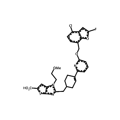 COCCn1c(CC2CC=C(c3cccc(OCc4ccc(Cl)c5cc(F)oc45)n3)CC2)nc2sc(C(=O)O)cc21